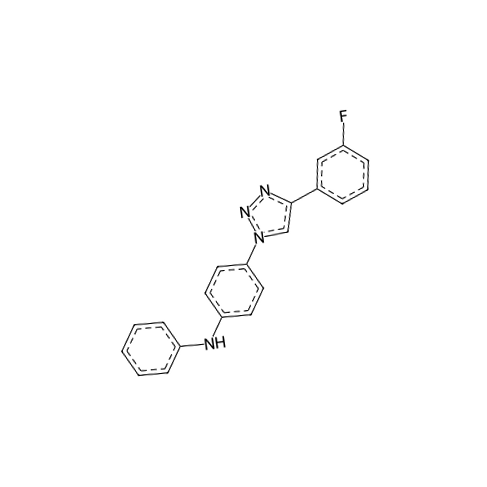 Fc1cccc(-c2cn(-c3ccc(Nc4ccccc4)cc3)nn2)c1